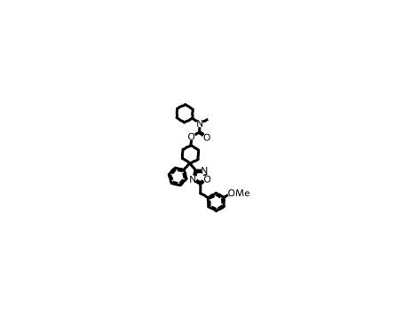 COc1cccc(Cc2nc(C3(c4ccccc4)CCC(OC(=O)N(C)C4CCCCC4)CC3)no2)c1